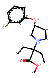 CCC(CC)(C(=O)OC)N1CC[C@@H](Oc2cccc(Cl)c2)C1